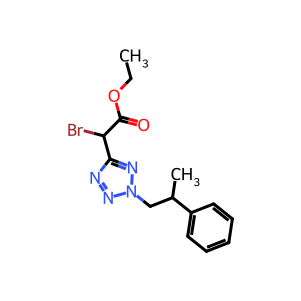 CCOC(=O)C(Br)c1nnn(CC(C)c2ccccc2)n1